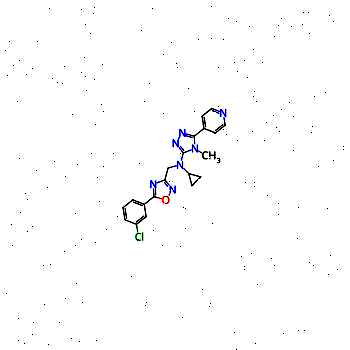 Cn1c(-c2ccncc2)nnc1N(Cc1noc(-c2cccc(Cl)c2)n1)C1CC1